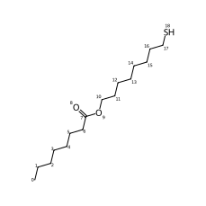 CCCCCCCC(=O)OCCCCCCCCS